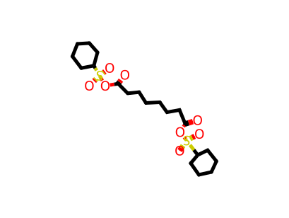 O=C(CCCCCCC(=O)OS(=O)(=O)C1CCCCC1)OS(=O)(=O)C1CCCCC1